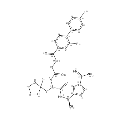 C[C@@H](NC(=O)[C@@H]1CC2(CN1C(=O)CNC(=O)c1cc(F)c(-c3ccc(F)cc3)cn1)OCCO2)c1cc(C(=N)N)cs1